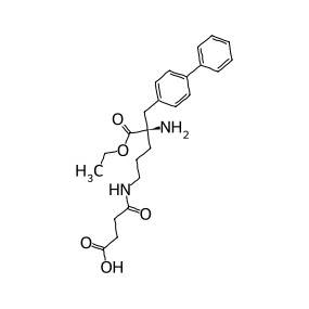 CCOC(=O)[C@@](N)(CCCNC(=O)CCC(=O)O)Cc1ccc(-c2ccccc2)cc1